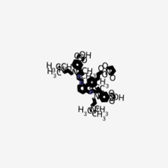 CC1(C)C(/C=C/C2=C(c3ccc(CCC(=O)ON4C(=O)CCC4=O)cc3)C(=C/C=C3/N(CCC[N+](C)(C)C)c4ccc(S(=O)(=O)O)cc4C3(C)C)/CCC2)=[N+](CCC[N+](C)(C)C)c2ccc(S(=O)(=O)O)cc21